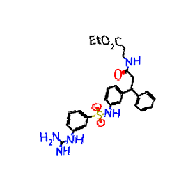 CCOC(=O)CCNC(=O)CC(c1ccccc1)c1cccc(NS(=O)(=O)c2cccc(NC(=N)N)c2)c1